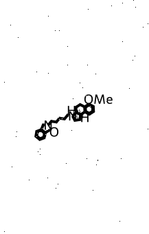 COc1cccc2c1CC[C@@H]1[C@H]2CCN1CCCCCN1Cc2ccccc2C1=O